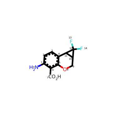 Nc1ccc2c(c1C(=O)O)OCC1C2C1(F)F